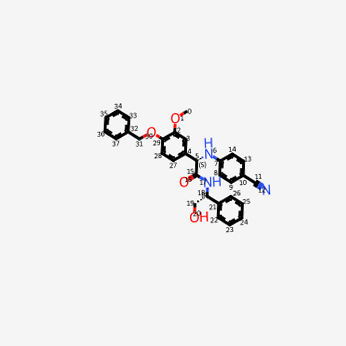 COc1cc([C@H](Nc2ccc(C#N)cc2)C(=O)N[C@@H](CO)c2ccccc2)ccc1OCc1ccccc1